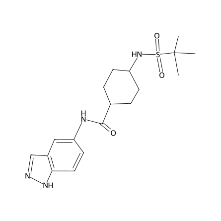 CC(C)(C)S(=O)(=O)NC1CCC(C(=O)Nc2ccc3[nH]ncc3c2)CC1